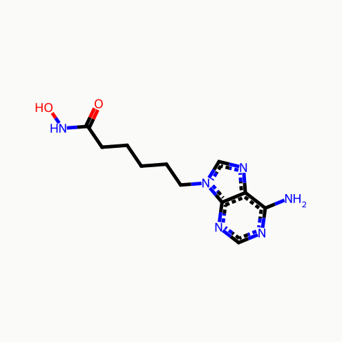 Nc1ncnc2c1ncn2CCCCCC(=O)NO